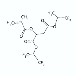 C=C(C)C(=O)OC(CC(=O)OC(C)C(F)(F)F)C(=O)OC(C(F)(F)F)C(F)(F)F